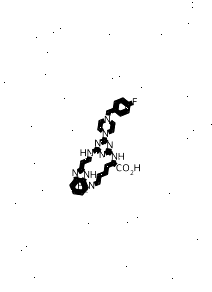 NCCCCC(Nc1nc(NCCc2nc3ccccc3[nH]2)nc(N2CCN(Cc3ccc(F)cc3)CC2)n1)C(=O)O